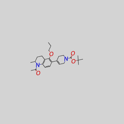 CCCOc1c(C2=CCN(C(=O)OC(C)(C)C)CC2)ccc2c1CCC(C)N2C(C)=O